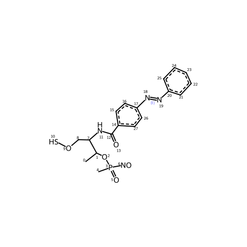 CC(OP(C)(=O)N=O)C(COS)NC(=O)c1ccc(/N=N/c2ccccc2)cc1